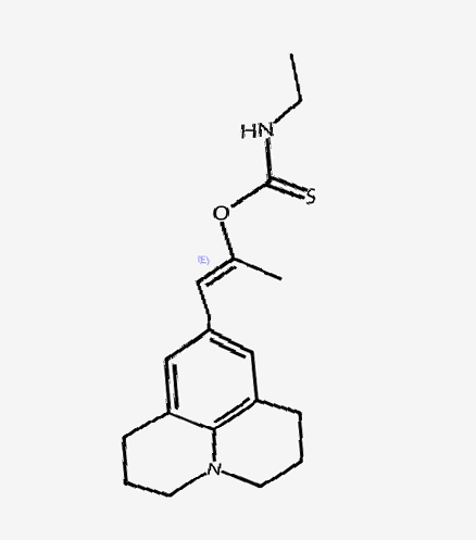 CCNC(=S)O/C(C)=C/c1cc2c3c(c1)CCCN3CCC2